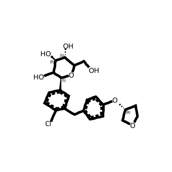 OCC1O[C@@H](c2ccc(Cl)c(Cc3ccc(O[C@@H]4CCOC4)cc3)c2)C(O)[C@@H](O)[C@@H]1O